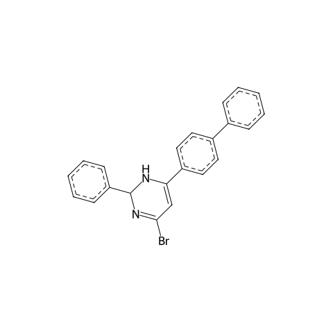 BrC1=NC(c2ccccc2)NC(c2ccc(-c3ccccc3)cc2)=C1